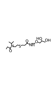 CCC(=O)N(CCSCCC(=O)NCCOCC(O)CO)C(C)C